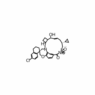 C[C@H]1[C@@H](C2CC2)C/C=C/[C@H](O)C2CC[C@H]2CN2C[C@@]3(CCCc4cc(Cl)ccc43)COc3ccc(cc32)C(=O)NS1(=O)=O